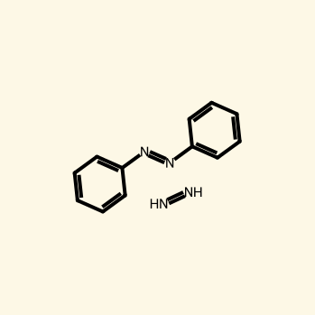 N=N.c1ccc(N=Nc2ccccc2)cc1